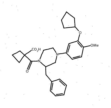 COc1ccc(N2CCN(C(=O)C3(C(=O)O)CCC3)C(Cc3ccccc3)C2)cc1OC1CCCC1